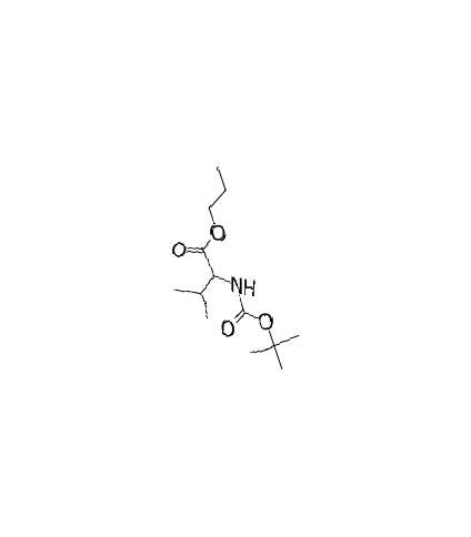 CCCOC(=O)C(NC(=O)OC(C)(C)C)C(C)C